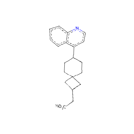 O=C(O)CC1CC2(CCC(c3ccnc4ccccc34)CC2)C1